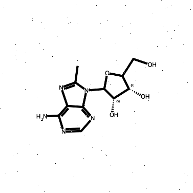 Cc1nc2c(N)ncnc2n1C1OC(CO)[C@H](O)[C@@H]1O